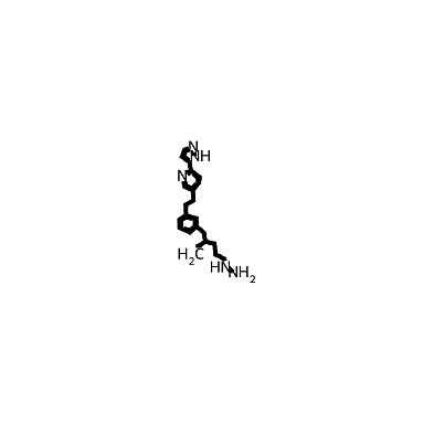 C=CC(CCCNN)Cc1cccc(CCc2ccc(-c3ccn[nH]3)nc2)c1